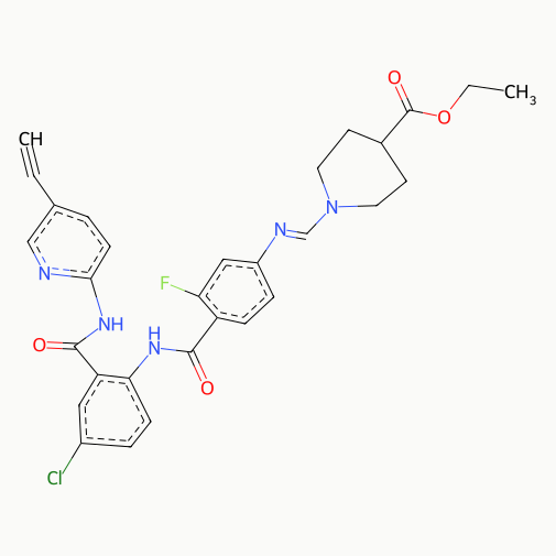 C#Cc1ccc(NC(=O)c2cc(Cl)ccc2NC(=O)c2ccc(N=CN3CCC(C(=O)OCC)CC3)cc2F)nc1